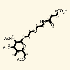 CC(=O)NC1C(OCCOCCNC(=O)CCC(=O)O)OC(COC(C)=O)C(C)C1OC(C)=O